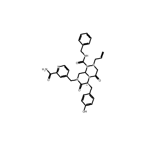 C=CCN1CC(=O)N2C(CN(Cc3ccnc(C(N)=O)c3)C(=O)[C@@H]2Cc2ccc(O)cc2)N1C(=O)NCc1ccccc1